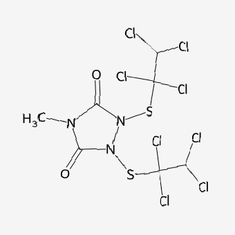 Cn1c(=O)n(SC(Cl)(Cl)C(Cl)Cl)n(SC(Cl)(Cl)C(Cl)Cl)c1=O